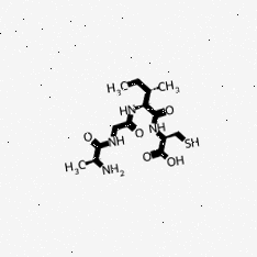 CC[C@H](C)[C@H](NC(=O)CNC(=O)[C@H](C)N)C(=O)N[C@@H](CS)C(=O)O